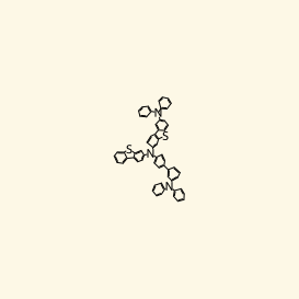 c1ccc(N(c2ccccc2)c2cccc(-c3ccc(N(c4ccc5c(c4)sc4ccccc45)c4ccc5c(c4)sc4ccc(N(c6ccccc6)c6ccccc6)cc45)cc3)c2)cc1